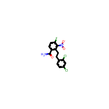 NC(=O)c1ccc(F)c([N+](=O)[O-])c1CCc1ccc(Cl)cc1Cl